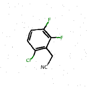 N#CCc1c(Cl)ccc(F)c1F